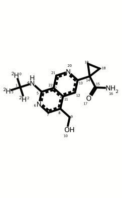 [2H]C([2H])([2H])Nc1ncc(CO)c2cc(C3(C(N)=O)CC3)ncc12